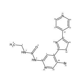 CCNC(=O)Nc1cc(-c2nc(-c3ccncc3)cs2)c(Br)cn1